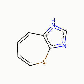 C1=CSc2nc[nH]c2C=C1